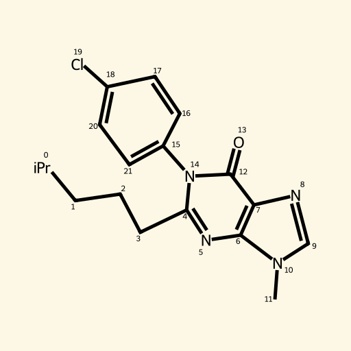 CC(C)CCCc1nc2c(ncn2C)c(=O)n1-c1ccc(Cl)cc1